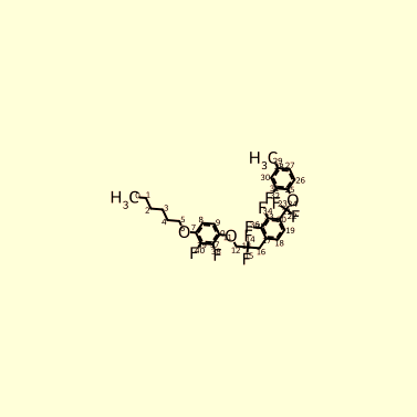 CCCCCCOc1ccc(OCC(F)(F)Cc2ccc(C(F)(F)Oc3ccc(C)cc3F)c(F)c2F)c(F)c1F